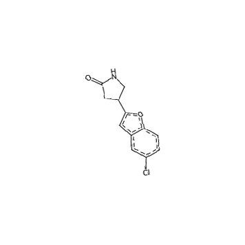 O=C1CC(c2cc3cc(Cl)ccc3o2)CN1